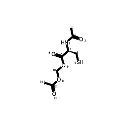 CC(=O)N[C@@H](CS)C(=O)OCOC(=O)I